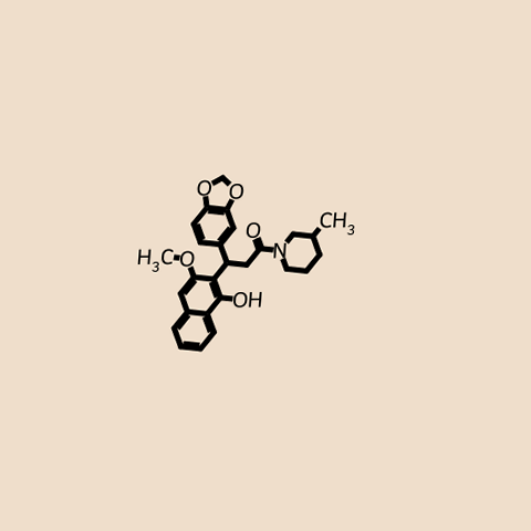 COc1cc2ccccc2c(O)c1C(CC(=O)N1CCCC(C)C1)c1ccc2c(c1)OCO2